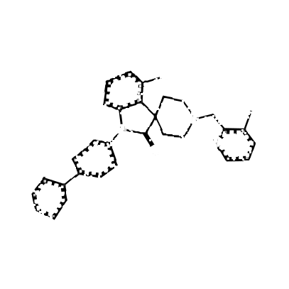 Cc1cccnc1CN1CCC2(CC1)C(=O)N(c1ccc(-c3ccccc3)cc1)c1cccc(Br)c12